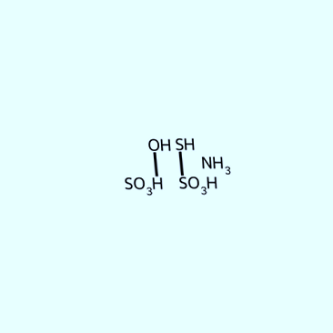 N.O=S(=O)(O)O.O=S(=O)(O)S